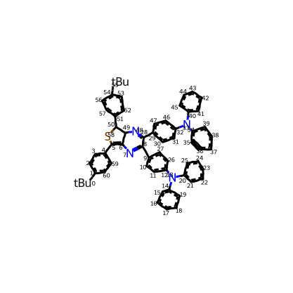 CC(C)(C)c1ccc(C2=C3N=C(c4ccc(N(c5ccccc5)c5ccccc5)cc4)C(c4ccc(N(c5c#cccc5)c5ccccc5)cc4)=NC3C(c3ccc(C(C)(C)C)cc3)S2)cc1